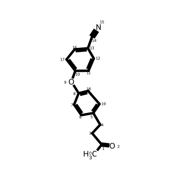 CC(=O)CCc1ccc(Oc2ccc(C#N)cc2)cc1